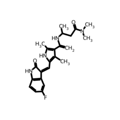 C=C(NC(C)CC(=O)N(C)C)c1c(C)[nH]c(/C=C2\C(=O)Nc3ccc(F)cc32)c1C